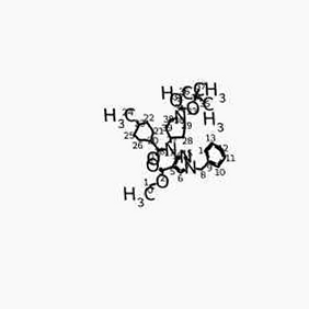 CCOC(=O)c1cn(Cc2ccccc2)nc1N(C(=O)C1CCC(C)CC1)C1CCN(C(=O)OC(C)(C)C)CC1